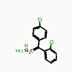 C=C(c1ccc(Cl)cc1)c1ccccc1Cl.Cl.Cl